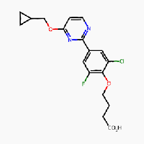 O=C(O)CCCOc1c(F)cc(-c2nccc(OCC3CC3)n2)cc1Cl